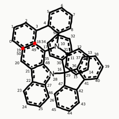 c1ccc(-c2ccccc2N(c2ccccc2)c2cccc3c4ccccc4n(C4(c5ccccc5)c5ccccc5-c5ccccc54)c23)cc1